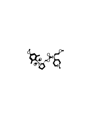 COCCN(C(=O)OC[C@@H]1CCCN1S(=O)(=O)c1c(C)cc(OC)cc1C)C1CCN(C)CC1